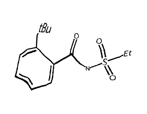 CCS(=O)(=O)[N]C(=O)c1ccccc1C(C)(C)C